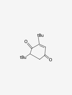 CC(C)(C)C1=CC(=O)CC(C(C)(C)C)C1=O